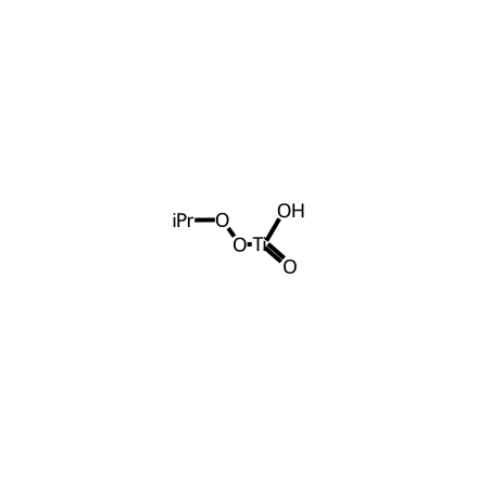 CC(C)O[O][Ti](=[O])[OH]